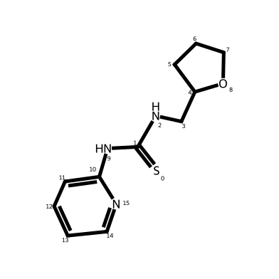 S=C(NCC1CCCO1)Nc1ccccn1